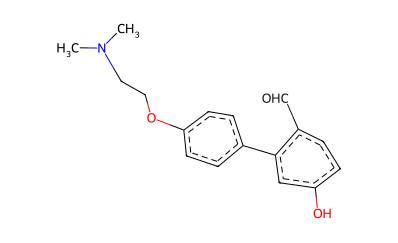 CN(C)CCOc1ccc(-c2cc(O)ccc2C=O)cc1